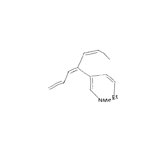 C=C/C=C(/C=C\C)C(\C=C/CC)=C\NC